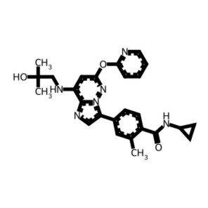 Cc1cc(-c2cnc3c(NCC(C)(C)O)cc(Oc4ccccn4)nn23)ccc1C(=O)NC1CC1